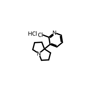 Cl.Clc1ncccc1C12CCCN1CCC2